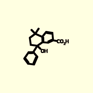 CC1(C)CCC(O)(c2ccccc2)c2cc(C(=O)O)ccc21